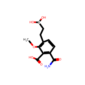 COc1c(CCB(O)O)ccc(C(N)=O)c1C(=O)O